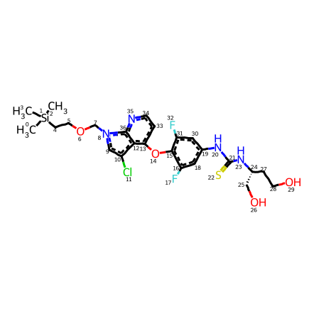 C[Si](C)(C)CCOCn1cc(Cl)c2c(Oc3c(F)cc(NC(=S)N[C@@H](CO)CCO)cc3F)ccnc21